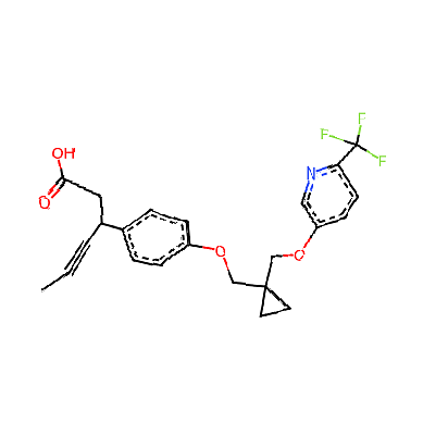 CC#CC(CC(=O)O)c1ccc(OCC2(COc3ccc(C(F)(F)F)nc3)CC2)cc1